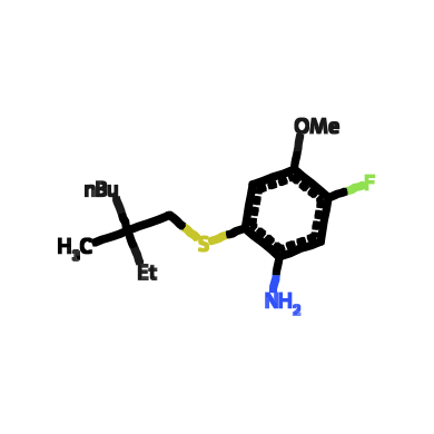 CCCCC(C)(CC)CSc1cc(OC)c(F)cc1N